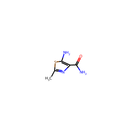 Cc1nc(C(N)=O)c(N)s1